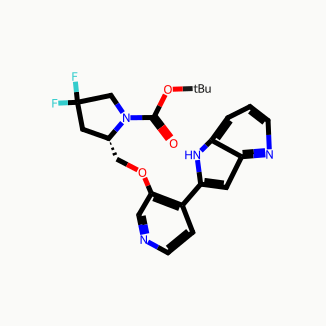 CC(C)(C)OC(=O)N1CC(F)(F)C[C@H]1COc1cnccc1-c1cc2ncccc2[nH]1